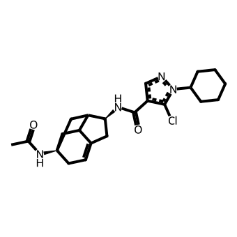 CC(=O)N[C@]12CC=C3C[C@H](NC(=O)c4cnn(C5CCCCC5)c4Cl)C(C1)C3C2